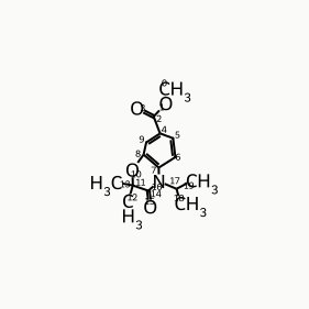 COC(=O)c1ccc2c(c1)OC(C)(C)C(=O)N2C(C)C